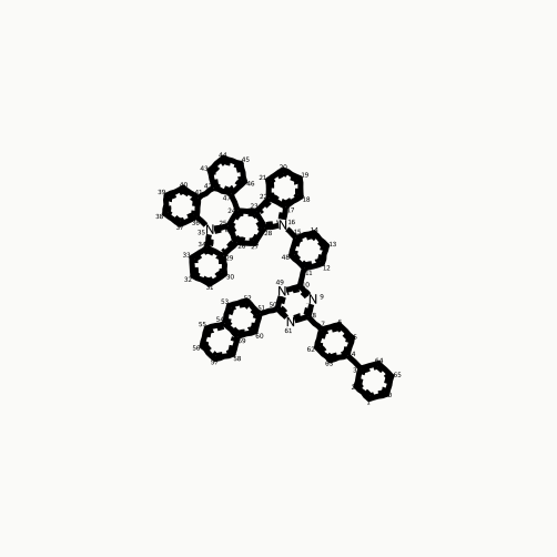 c1ccc(-c2ccc(-c3nc(-c4cccc(-n5c6ccccc6c6c7c8c(cc65)c5ccccc5n8-c5ccccc5-c5ccccc5-7)c4)nc(-c4ccc5ccccc5c4)n3)cc2)cc1